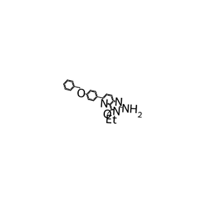 CCOc1nc(N)nc2ccc(-c3ccc(OCc4ccccc4)cc3)nc12